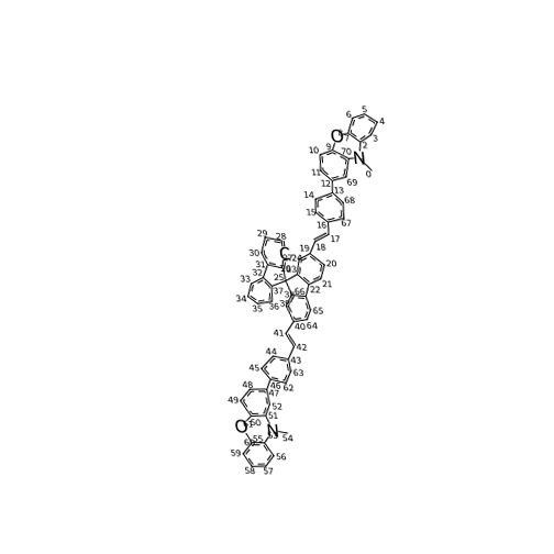 CN1c2ccccc2Oc2ccc(-c3ccc(/C=C/c4ccc5c(c4)C4(c6ccccc6-c6ccccc64)c4cc(/C=C/c6ccc(-c7ccc8c(c7)N(C)c7ccccc7O8)cc6)ccc4-5)cc3)cc21